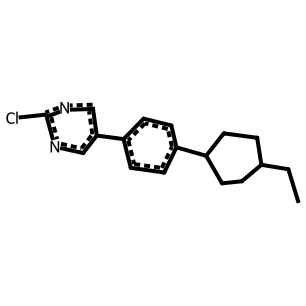 CCC1CCC(c2ccc(-c3cnc(Cl)nc3)cc2)CC1